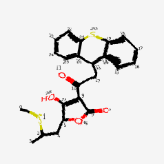 CSC(C)CC1OC(=O)C(C(=O)CC2c3ccccc3Sc3ccccc32)=C1O